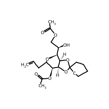 C=CCC1O[C@@H]([C@H](O)COC(C)=O)[C@H]2OC3(CCCCC3)O[C@H]2[C@H]1OC(C)=O